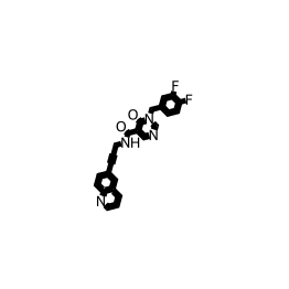 O=C(NCC#Cc1ccc2ncccc2c1)c1cncn(Cc2ccc(F)c(F)c2)c1=O